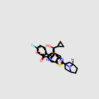 N=C(/C(COC1CC2CC[C@@H](C1)N2c1nc2ccc(C(=O)O)cc2s1)=C(\O)C1CC1)c1ccc(F)cc1